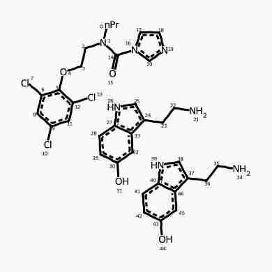 CCCN(CCOc1c(Cl)cc(Cl)cc1Cl)C(=O)n1ccnc1.NCCc1c[nH]c2ccc(O)cc12.NCCc1c[nH]c2ccc(O)cc12